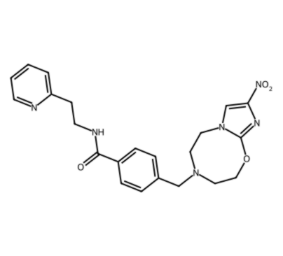 O=C(NCCc1ccccn1)c1ccc(CN2CCOc3nc([N+](=O)[O-])cn3CC2)cc1